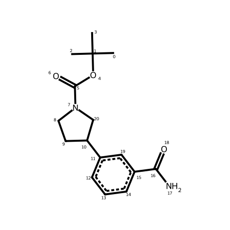 CC(C)(C)OC(=O)N1CCC(c2cccc(C(N)=O)c2)C1